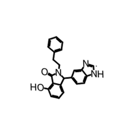 O=C1c2c(O)cccc2C(c2ccc3[nH][c]nc3c2)N1CCc1ccccc1